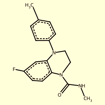 CNC(=O)N1CCN(c2ccc(C)cc2)c2cc(F)ccc21